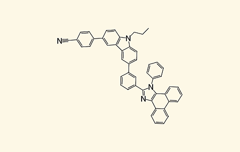 CCCn1c2ccc(-c3ccc(C#N)cc3)cc2c2cc(-c3cccc(-c4nc5c6ccccc6c6ccccc6c5n4-c4ccccc4)c3)ccc21